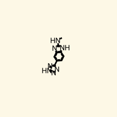 CNc1nc2cc(-c3nn[nH]n3)ccc2[nH]1